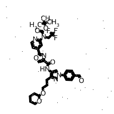 CC(C)(C)OC(=O)N(CC(F)(F)F)c1cc(-c2nc(C(=O)Nc3cn(-c4ccc(C=O)cc4)nc3CCCOC3CCCCO3)co2)ccn1